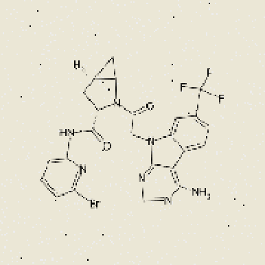 Nc1ncnc2c1c1ccc(C(F)(F)F)cc1n2CC(=O)N1C2C[C@@H]2C[C@H]1C(=O)Nc1cccc(Br)n1